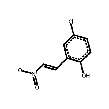 O=[N+]([O-])C=Cc1cc(Cl)ccc1O